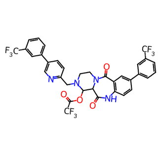 O=C1Nc2ccc(-c3cccc(C(F)(F)F)c3)cc2C(=O)N2CCN(Cc3ccc(-c4cccc(C(F)(F)F)c4)cn3)C(OC(=O)C(F)(F)F)C12